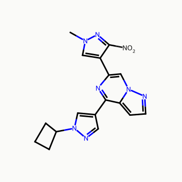 Cn1cc(-c2cn3nccc3c(-c3cnn(C4CCC4)c3)n2)c([N+](=O)[O-])n1